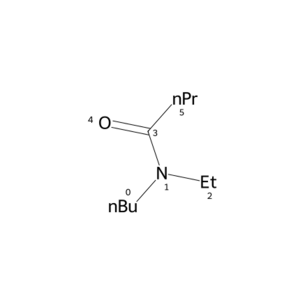 CCCCN(CC)C(=O)CCC